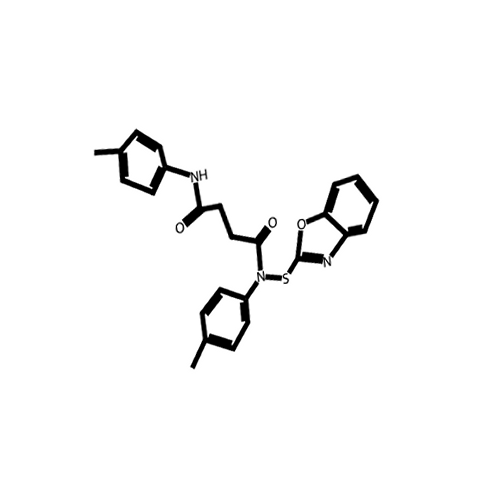 Cc1ccc(NC(=O)CCC(=O)N(Sc2nc3ccccc3o2)c2ccc(C)cc2)cc1